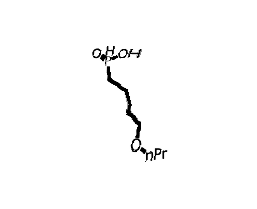 CCCOCCCC[PH](=O)O